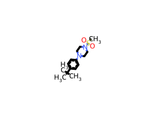 CC(C)(C)c1ccc(N2CCN(S(C)(=O)=O)CC2)cc1